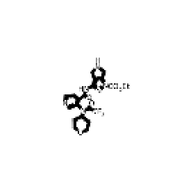 CCOC(=O)n1nc(NC(=O)c2ccncc2N(C(=O)C(F)(F)F)C2CCOCC2)c2c1CNC2